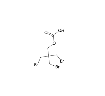 O=S(O)OCC(CBr)(CBr)CBr